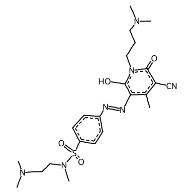 Cc1c(/N=N/c2ccc(S(=O)(=O)N(C)CCN(C)C)cc2)c(O)n(CCCN(C)C)c(=O)c1C#N